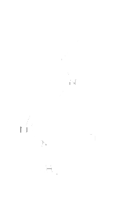 CCc1c(N2CCCCC2)[c]nn1C